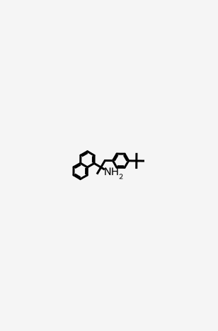 CC(C)(C)c1ccc(CC(C)(N)c2cccc3ccccc23)cc1